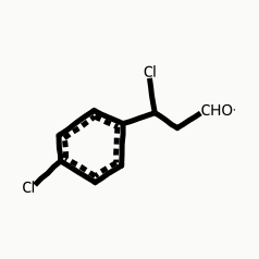 O=[C]CC(Cl)c1ccc(Cl)cc1